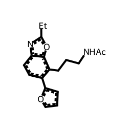 CCc1nc2ccc(-c3ccco3)c(CCCNC(C)=O)c2o1